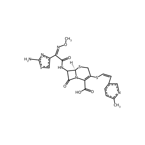 CO/N=C(\C(=O)NC1C(=O)N2C(C(=O)O)=C(S/C=C\c3ccc(C)nc3)CS[C@H]12)c1csc(N)n1